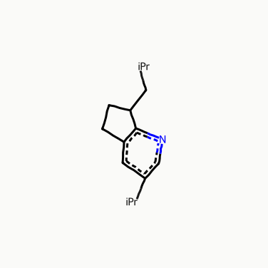 CC(C)CC1CCc2cc(C(C)C)cnc21